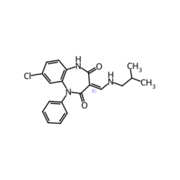 CC(C)CN/C=C1\C(=O)Nc2ccc(Cl)cc2N(c2ccccc2)C1=O